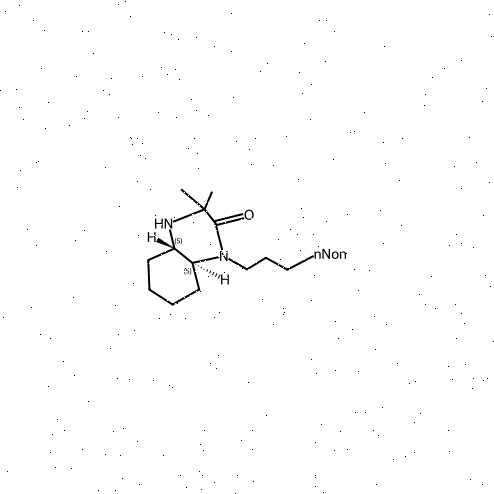 CCCCCCCCCCCCN1C(=O)C(C)(C)N[C@H]2CCCC[C@@H]21